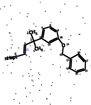 CCCCCCC/C=C/C(C)(C)c1cccc(OCc2ccccc2)c1